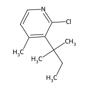 CCC(C)(C)c1c(C)ccnc1Cl